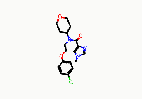 Cn1cnc(C(=O)N(CCOc2ccc(Cl)cc2)C2CCOCC2)c1